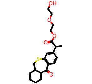 CC(C(=O)OCCOCCO)c1ccc2c(c1)SCC1CCCCC1C2=O